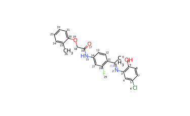 C/C(=N\c1cc(Cl)ccc1O)c1ccc(NC(=O)COc2ccccc2C)cc1F